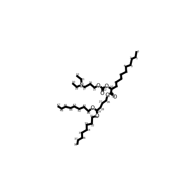 CCCCCCCCCCC(OC(=O)OCCCN(CC)CC)C(=O)OCCCC(OCCCCCCCC)OCCCCCCCC